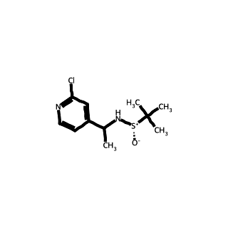 CC(N[S@@+]([O-])C(C)(C)C)c1ccnc(Cl)c1